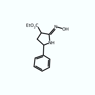 CCOC(=O)C1CC(c2ccccc2)NC1=NO